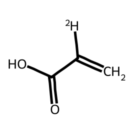 [2H]C(=C)C(=O)O